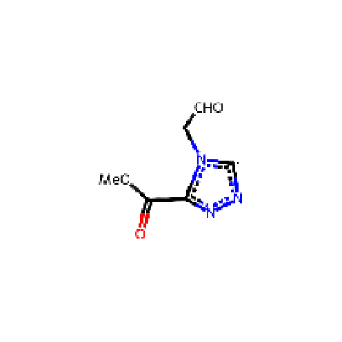 COC(=O)c1nn[c]n1CC=O